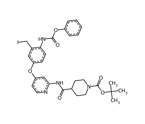 CC(C)(C)OC(=O)N1CCC(C(=O)Nc2cc(Oc3ccc(NC(=O)Oc4ccccc4)c(CI)c3)ccn2)CC1